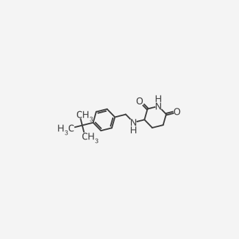 CC(C)(C)c1ccc(CNC2CCC(=O)NC2=O)cc1